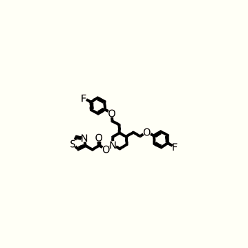 O=C(Cc1cscn1)ON1CCC(CCOc2ccc(F)cc2)C(CCOc2ccc(F)cc2)C1